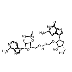 Nc1nc2c(ncn2[C@@H]2S[C@H](CO)[C@@H](O)[C@H]2OCOPOC[C@H]2O[C@@H](n3cnc4c(N)ncnc43)[C@@H](F)C2O[PH](=S)S)c(=O)[nH]1